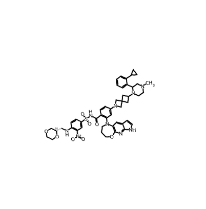 CN1CCN(C2CC3(C2)CN(c2ccc(C(=O)NS(=O)(=O)c4ccc(NC[C@H]5COCCO5)c([N+](=O)[O-])c4)c(N4CCCOc5nc6[nH]ccc6cc54)c2)C3)C(c2ccccc2C2CC2)C1